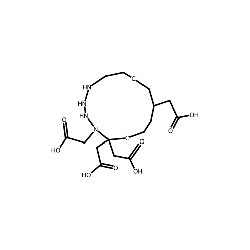 O=C(O)CC1CCCCNNNN(CC(=O)O)C(CC(=O)O)(CC(=O)O)CCC1